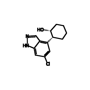 O[C@@H]1CCCC[C@@H]1c1cc(Cl)cc2[nH]ncc12